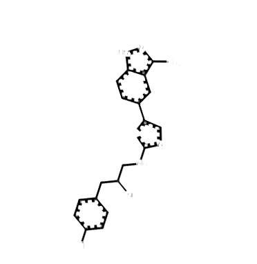 Cc1n[nH]c2ccc(-c3cnc(NCC(N)Cc4ccc(Cl)cc4)s3)cc12